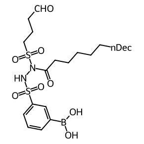 CCCCCCCCCCCCCCCC(=O)N(NS(=O)(=O)c1cccc(B(O)O)c1)S(=O)(=O)CCCC=O